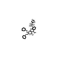 CCC(C1=C(O)CC(CCc2ccccc2)(CCc2ccccc2)OC1=O)c1cccc(NS(=O)(=O)c2cscn2)c1